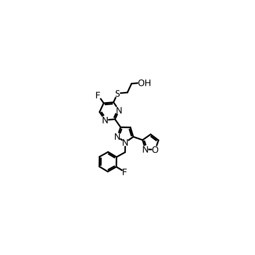 OCCSc1nc(-c2cc(-c3ccon3)n(Cc3ccccc3F)n2)ncc1F